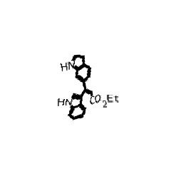 CCOC(=O)/C=C(/c1ccc2c(c1)NCC2)c1c[nH]c2ccccc12